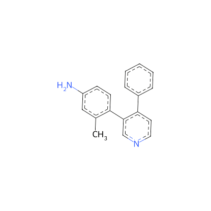 Cc1cc(N)ccc1-c1cnccc1-c1ccccc1